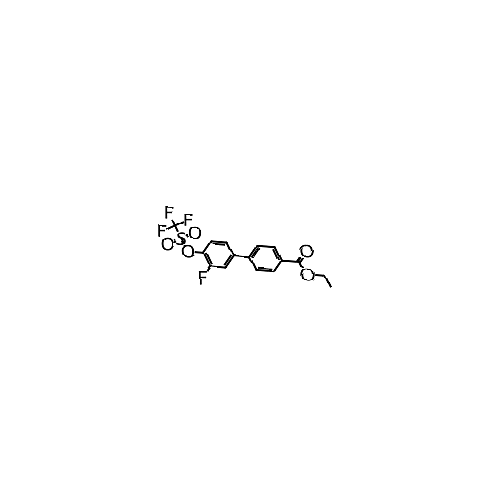 CCOC(=O)c1ccc(-c2ccc(OS(=O)(=O)C(F)(F)F)c(F)c2)cc1